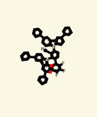 N#Cc1c(-n2c3ccc(-c4ccccc4)cc3c3cc(-c4ccccc4)ccc32)ccc(-c2c(F)c(F)c(F)c(F)c2F)c1-n1c2ccc(-c3ccccc3)cc2c2cc(-c3ccccc3)ccc21